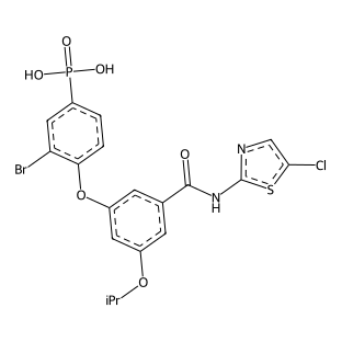 CC(C)Oc1cc(Oc2ccc(P(=O)(O)O)cc2Br)cc(C(=O)Nc2ncc(Cl)s2)c1